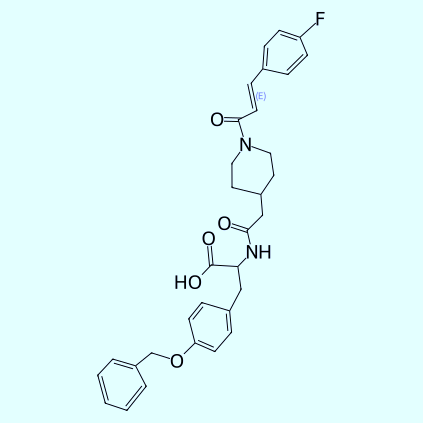 O=C(CC1CCN(C(=O)/C=C/c2ccc(F)cc2)CC1)NC(Cc1ccc(OCc2ccccc2)cc1)C(=O)O